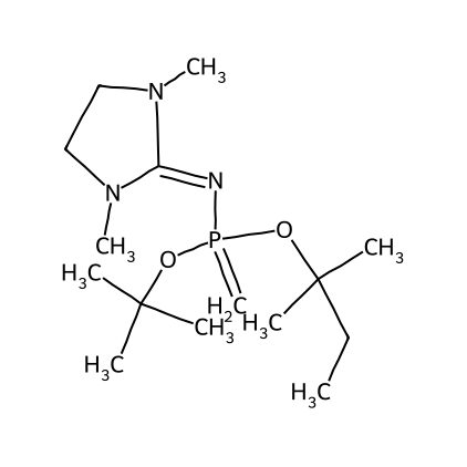 C=P(N=C1N(C)CCN1C)(OC(C)(C)C)OC(C)(C)CC